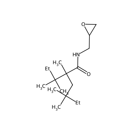 CCC(C)(C)CC(C)(C(=O)NCC1CO1)C(C)(C)CC